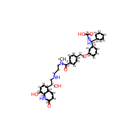 CN(CCCNC[C@H](O)c1ccc(O)c2[nH]c(=O)ccc12)C(=O)c1ccc(COc2cccc(C(NC(=O)O)c3ccccc3)c2)cc1